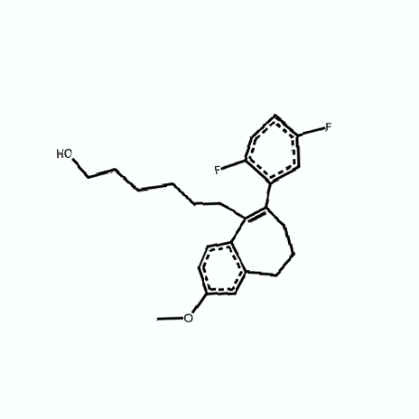 COc1ccc2c(c1)CCCC(c1cc(F)ccc1F)=C2CCCCCCO